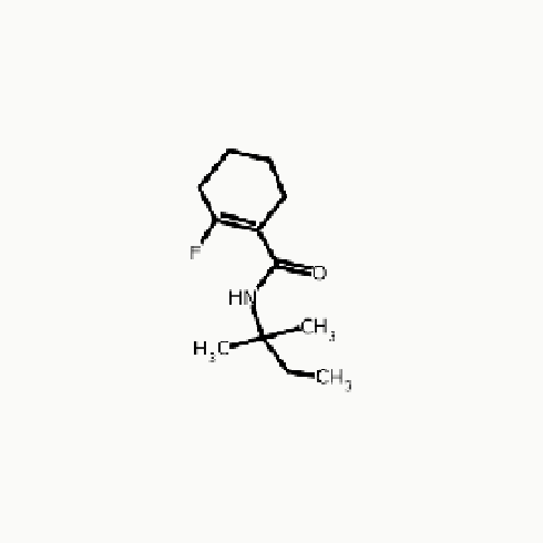 CCC(C)(C)NC(=O)C1=C(F)CCCC1